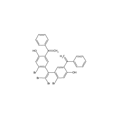 C=C(c1ccccc1)c1cc(C(=C(Br)Br)c2cc(C(=C)c3ccccc3)c(O)cc2Br)c(Br)cc1O